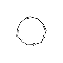 [CH]1C=CCC=CCCCCCC=C1